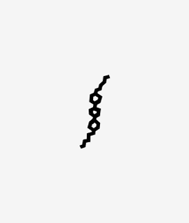 CCCCCCC1CC=C(c2ccc(C3=CCC(CCCCCC)CC3)cc2)CC1